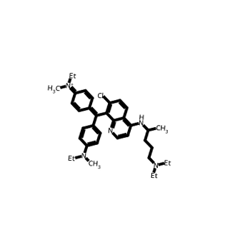 CCN(CC)CCCC(C)Nc1ccnc2c(C(=C3C=CC(=[N+](C)CC)C=C3)c3ccc(N(C)CC)cc3)c(Cl)ccc12